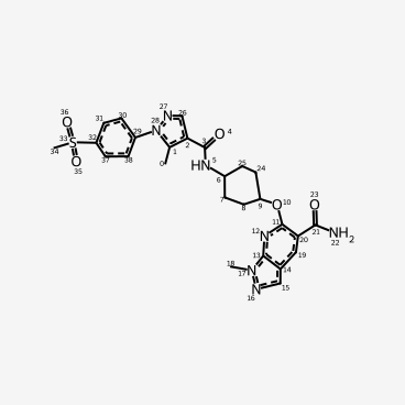 Cc1c(C(=O)NC2CCC(Oc3nc4c(cnn4C)cc3C(N)=O)CC2)cnn1-c1ccc(S(C)(=O)=O)cc1